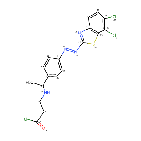 CC(NCCC(=O)Cl)c1ccc(N=Nc2nc3ccc(Cl)c(Cl)c3s2)cc1